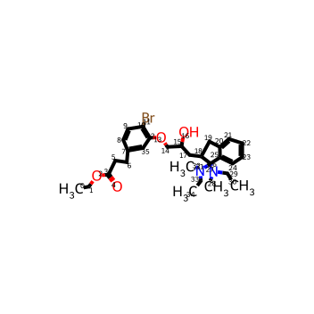 CCOC(=O)CCc1ccc(Br)c(OCC(O)CC2Cc3ccccc3C2(N(C)CC)N(C)CC)c1